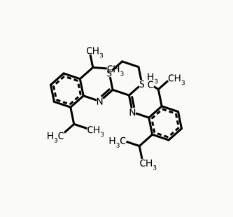 CC(C)c1cccc(C(C)C)c1N=C1SCCSC1=Nc1c(C(C)C)cccc1C(C)C